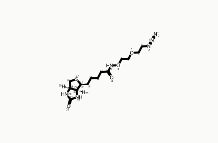 [N-]=[N+]=NCCOCCONC(=O)CCCC[C@@H]1SC[C@@H]2NC(=O)N[C@@H]21